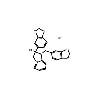 OC1(c2ccc3c(c2)OCO3)C[n+]2cccnc2N1Cc1ccc2c(c1)OCO2.[Br-]